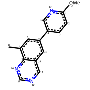 COc1ccc(-c2cc(C)c3ncncc3c2)cn1